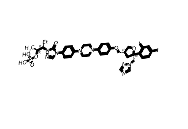 CC[C@@H]([C@H](C)OP(=O)(O)O)n1ncn(-c2ccc(N3CCN(c4ccc(OC[C@@H]5CO[C@@](Cn6cncn6)(c6ccc(I)cc6I)C5)cc4)CC3)cc2)c1=O